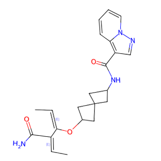 C/C=C(OC1CC2(CC(NC(=O)c3cnn4ccccc34)C2)C1)\C(=C/C)C(N)=O